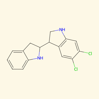 Clc1cc2c(cc1Cl)C(C1Cc3ccccc3N1)CN2